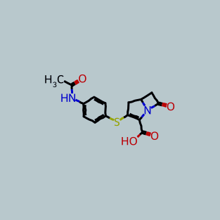 CC(=O)Nc1ccc(SC2=C(C(=O)O)N3C(=O)CC3C2)cc1